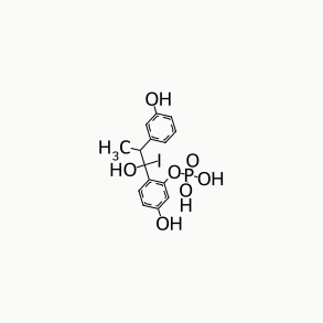 CC(c1cccc(O)c1)C(O)(I)c1ccc(O)cc1OP(=O)(O)O